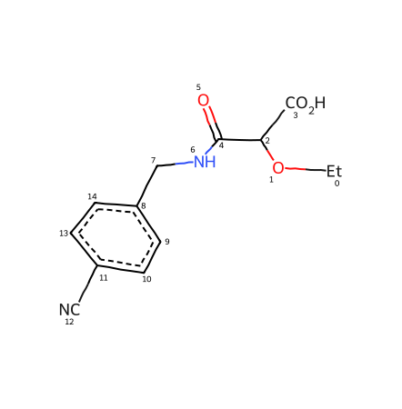 CCOC(C(=O)O)C(=O)NCc1ccc(C#N)cc1